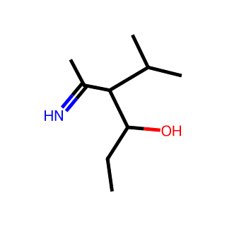 CCC(O)C(C(C)=N)C(C)C